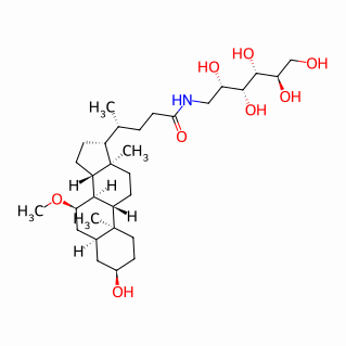 CO[C@@H]1C[C@@H]2C[C@H](O)CC[C@]2(C)[C@H]2CC[C@]3(C)[C@@H]([C@H](C)CCC(=O)NC[C@H](O)[C@@H](O)[C@H](O)[C@H](O)CO)CC[C@H]3[C@H]12